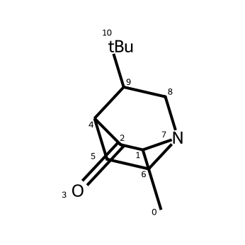 CC1C(=O)C2CCN1CC2C(C)(C)C